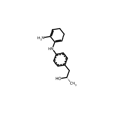 C[C@H](O)Cc1ccc(NC2=CC[CH]C=C2N)cc1